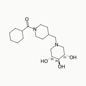 O=C(C1CCCCC1)N1CCC(CN2C[C@@H](O)[C@H](O)[C@@H](O)C2)CC1